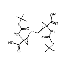 CC(C)(C)OC(=O)NC1(C(=O)O)CC1CCC1CC1(NC(=O)OC(C)(C)C)C(=O)O